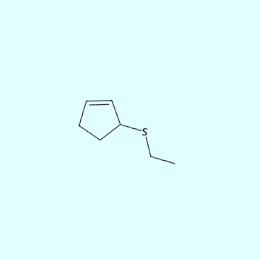 CCSC1C=CCC1